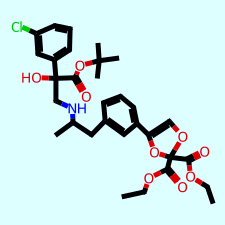 CCOC(=O)C1(C(=O)OCC)OC=C(c2cccc(CC(C)NCC(O)(C(=O)OC(C)(C)C)c3cccc(Cl)c3)c2)O1